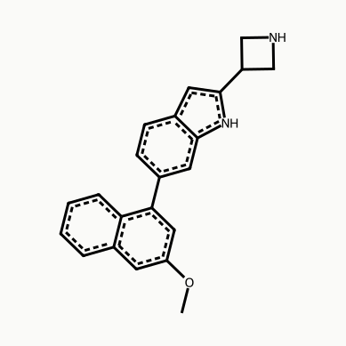 COc1cc(-c2ccc3cc(C4CNC4)[nH]c3c2)c2ccccc2c1